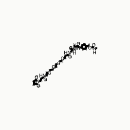 CNC(=O)OCc1ccc(NC(=O)C(C)NC(=O)CNC(=O)CCOCCOCCOCCOCCNC(=O)CCN2C(=O)C=CC2=O)cc1